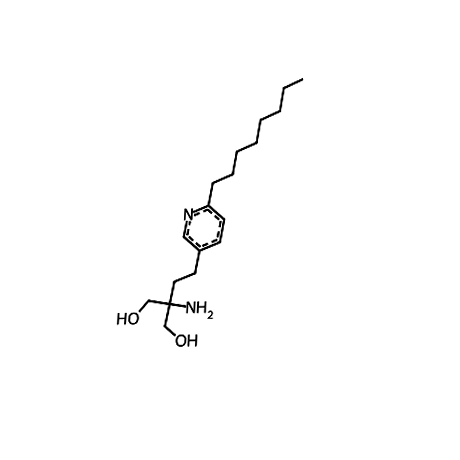 CCCCCCCCc1ccc(CCC(N)(CO)CO)cn1